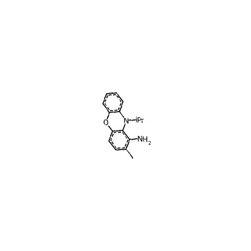 Cc1ccc2c(c1N)N(C(C)C)c1ccccc1O2